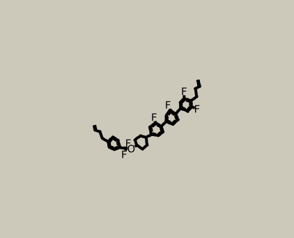 C=CCCc1ccc(C(F)(F)OC2CCC(c3ccc(-c4ccc(-c5cc(F)c(CCC=C)c(F)c5)c(F)c4)c(F)c3)CC2)cc1